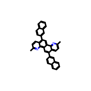 Cc1ccc2c(-c3ccc4ccccc4c3)cc3c(cc(-c4ccc5ccccc5c4)c4ccc(C)nc43)c2n1